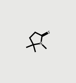 CN1C(=S)CCC1(C)C